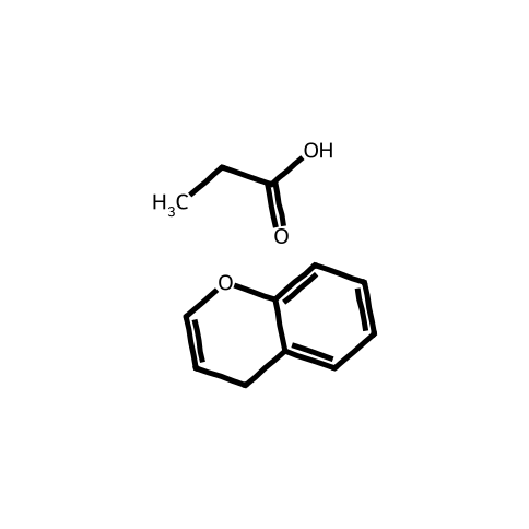 C1=COc2ccccc2C1.CCC(=O)O